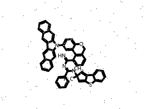 CN(/C(=N\C(=N)c1cccc2c1-c1cc(-n3c4cc5ccccc5cc4c4cc5ccccc5cc43)ccc1OC2)c1ccccc1)C1(C)C=c2sc3ccccc3c2=C1